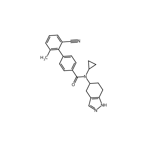 Cc1cccc(C#N)c1-c1ccc(C(=O)N(C2CC2)C2CCc3[nH]ncc3C2)cc1